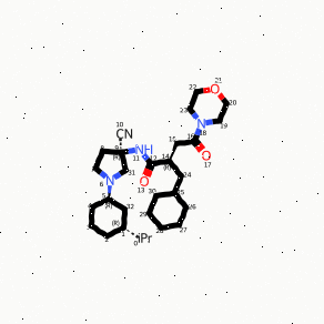 CC(C)[C@@H]1CCC[C@@H](N2CC[C@@](C#N)(NC(=O)[C@@H](CC(=O)N3CCOCC3)CC3CCCCC3)C2)C1